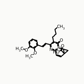 CCCCc1c(/C=C/c2cccc(OC)c2OC)nc2n(c1=O)C1CC1(C(=O)O)C=C2